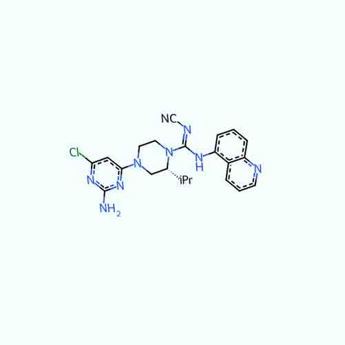 CC(C)[C@@H]1CN(c2cc(Cl)nc(N)n2)CCN1/C(=N\C#N)Nc1cccc2ncccc12